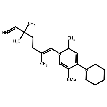 CNC1=CN(/C=C(\C)CCC(C)(C)C=N)C(C)C=C1N1CCCCC1